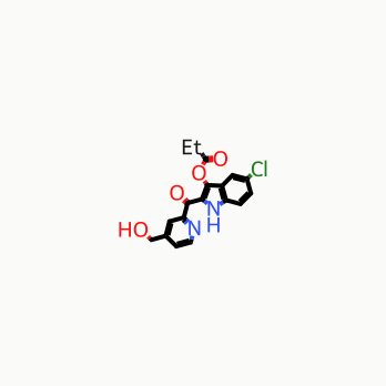 CCC(=O)Oc1c(C(=O)c2cc(CO)ccn2)[nH]c2ccc(Cl)cc12